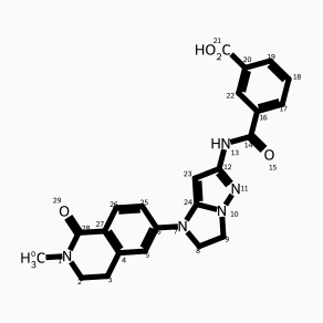 CN1CCc2cc(N3CCn4nc(NC(=O)c5cccc(C(=O)O)c5)cc43)ccc2C1=O